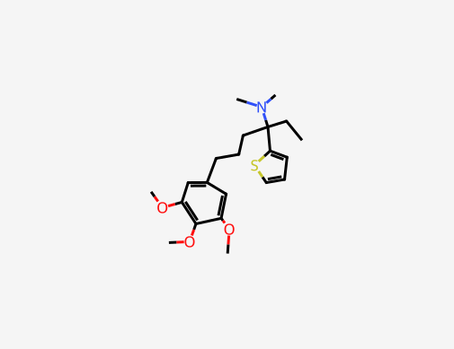 CCC(CCCc1cc(OC)c(OC)c(OC)c1)(c1cccs1)N(C)C